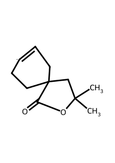 CC1(C)CC2(CC=[C]CC2)C(=O)O1